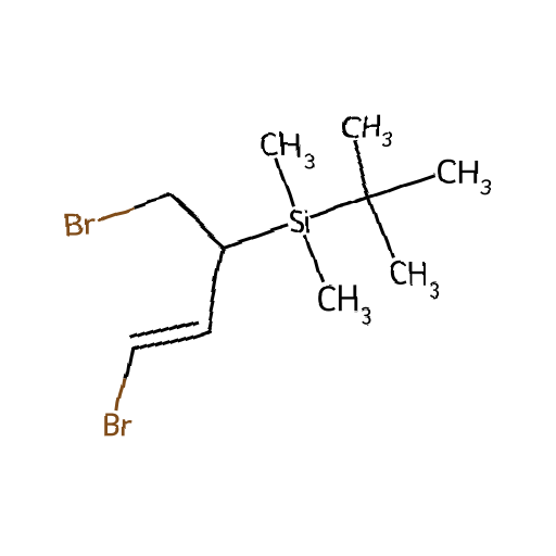 CC(C)(C)[Si](C)(C)C(C=CBr)CBr